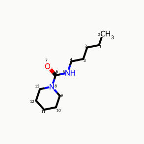 CCCCCNC(=O)N1CC[CH]CC1